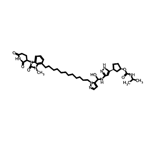 CC(C)NC(=O)O[C@@H]1CC[C@H](c2cc(NC(O)c3ccnn3CCCCCCCCCCCCc3cccc4c3n(C)c(=O)n4C3CCC(=O)NC3=O)n[nH]2)C1